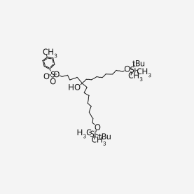 Cc1ccc(S(=O)(=O)OCCCCC(O)(CCCCCCCCO[Si](C)(C)C(C)(C)C)CCCCCCCCO[Si](C)(C)C(C)(C)C)cc1